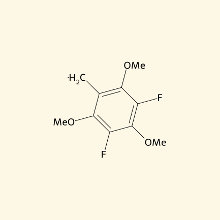 [CH2]c1c(OC)c(F)c(OC)c(F)c1OC